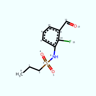 CCCS(=O)(=O)Nc1cccc(C=O)c1F